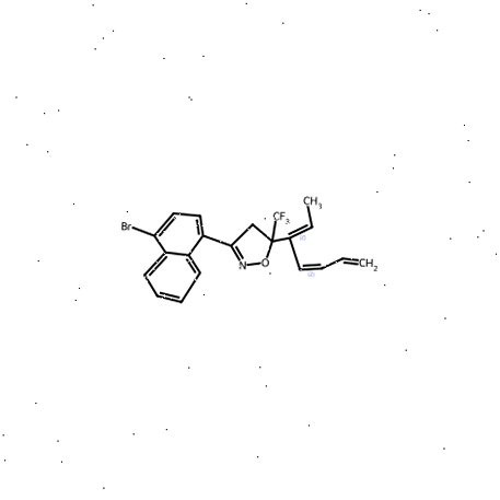 C=C/C=C\C(=C\C)C1(C(F)(F)F)CC(c2ccc(Br)c3ccccc23)=NO1